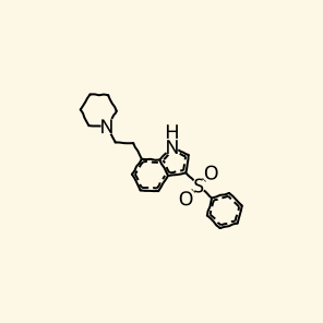 O=S(=O)(c1ccccc1)c1c[nH]c2c(CCN3CCCCC3)cccc12